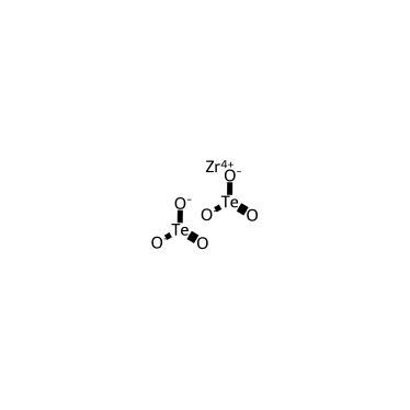 O=[Te]([O-])[O-].O=[Te]([O-])[O-].[Zr+4]